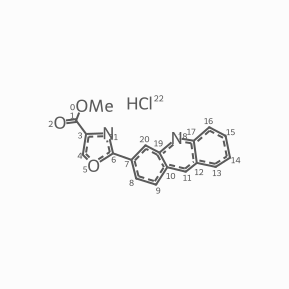 COC(=O)c1coc(-c2ccc3cc4ccccc4nc3c2)n1.Cl